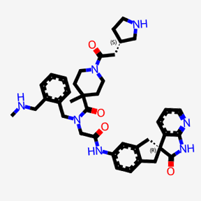 CNCc1ccccc1CN(CC(=O)Nc1ccc2c(c1)C[C@@]1(C2)C(=O)Nc2ncccc21)C(=O)C1(C)CCN(C(=O)C[C@@H]2CCNC2)CC1